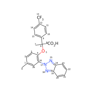 Cc1ccc(OC(C)(C(=O)O)c2ccc(C(F)(F)F)cc2)c(-n2nc3ccccc3n2)c1